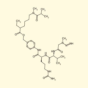 CCC(CCCCN(C)C(=O)C(C)C)C(=O)OCc1ccc(NC(=O)[C@H](CCCNC(N)=O)NC(=O)[C@@H](NC(=O)CN(C)N=N)C(C)C)cc1